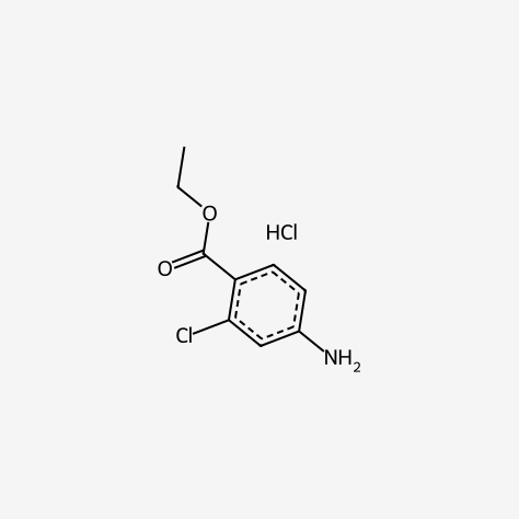 CCOC(=O)c1ccc(N)cc1Cl.Cl